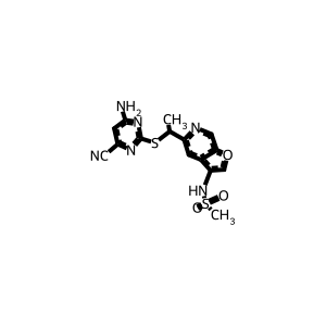 CC(Sc1nc(N)cc(C#N)n1)c1cc2c(NS(C)(=O)=O)coc2cn1